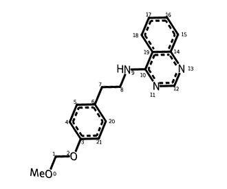 COCOc1ccc(CCNc2ncnc3ccccc23)cc1